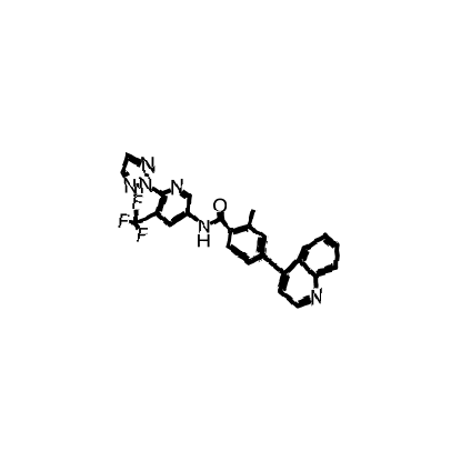 Cc1cc(-c2ccnc3ccccc23)ccc1C(=O)Nc1cnc(-n2nccn2)c(C(F)(F)F)c1